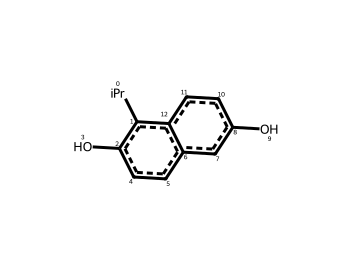 CC(C)c1c(O)ccc2cc(O)ccc12